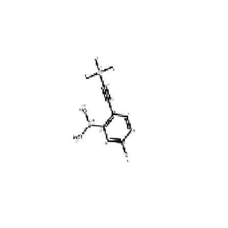 C[Si](C)(C)C#Cc1ccc(F)cc1B(O)O